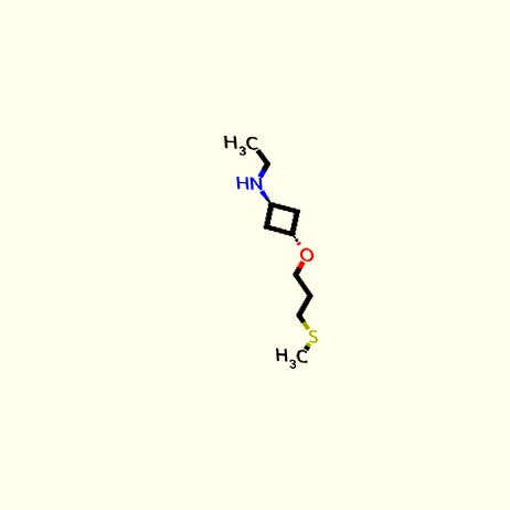 CCN[C@H]1C[C@H](OCCCSC)C1